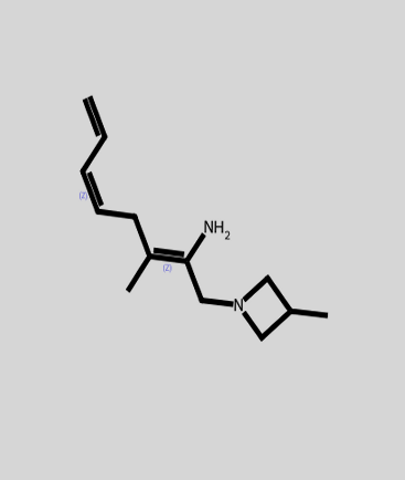 C=C/C=C\C/C(C)=C(\N)CN1CC(C)C1